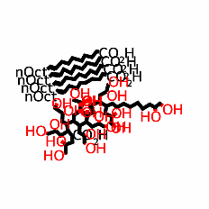 CCCCCCCCC=CCCCCCCCC(=O)O.CCCCCCCCC=CCCCCCCCC(=O)O.CCCCCCCCC=CCCCCCCCC(=O)O.CCCCCCCCC=CCCCCCCCC(=O)O.O=C(O)C(CC(O)CO)C(CC(O)CO)C(CC(O)CO)C(CC(O)CO)C(CC(O)CO)C(CC(O)CO)C(C=CC(CC(O)CO)C(CCCCCCCC(O)CO)CC(O)CO)CC(O)CO